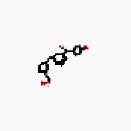 BrCc1cccc(Cc2cccc(C(Br)c3ccc(Br)cc3)c2)c1